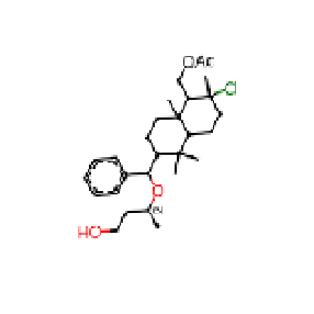 CC(=O)OCC1C(C)(Cl)CCC2C(C)(C)C(C(O[C@@H](C)CCO)c3ccccc3)CCC12C